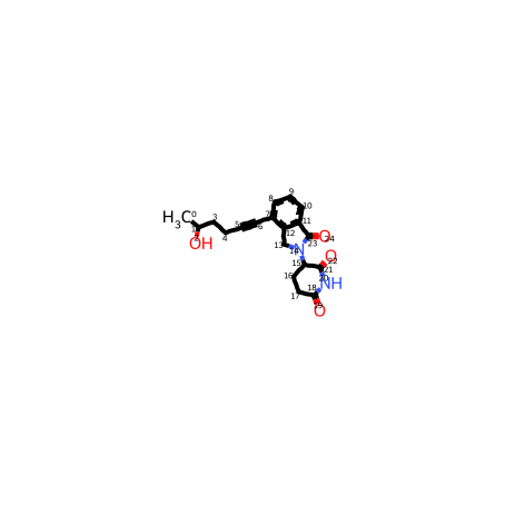 CC(O)CCC#Cc1cccc2c1CN(C1CCC(=O)NC1=O)C2=O